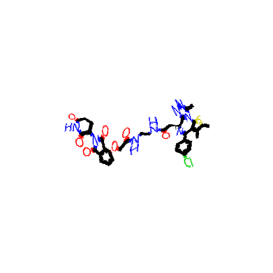 Cc1sc2c(c1C)C(c1ccc(Cl)cc1)=N[C@@H](CC(=O)NCCNC(=O)COc1cccc3c1C(=O)N(C1CCC(=O)NC1=O)C3=O)c1nnc(C)n1-2